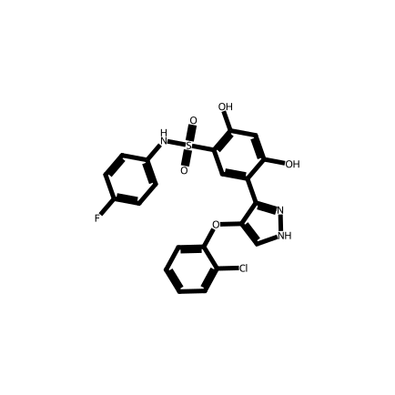 O=S(=O)(Nc1ccc(F)cc1)c1cc(-c2n[nH]cc2Oc2ccccc2Cl)c(O)cc1O